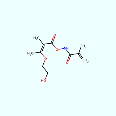 C=C(C)C(=O)NOC(=O)C(C)=C(C)OCCO